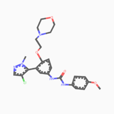 COc1ccc(NC(=O)Nc2ccc(OCCN3CCOCC3)c(-c3c(Cl)cnn3C)c2)cc1